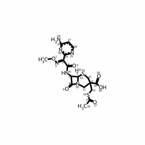 CON=C(C(=O)NC1C(=O)N2CC(CSC(C)=O)(C(=O)O)CS[C@H]12)c1nccc(N)n1